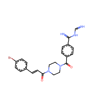 N=CNC(=N)c1ccc(C(=O)N2CCN(C(=O)/C=C/c3ccc(Br)cc3)CC2)cc1